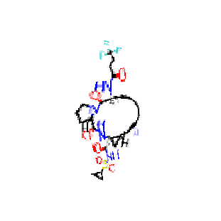 O=C(CCC(F)(F)F)N[C@H]1CCCCC/C=C\[C@@H]2C[C@@]2(C(=O)NS(=O)(=O)C2CC2)NC(=O)[C@@H]2CCCN2C1=O